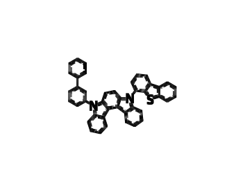 c1ccc(-c2cccc(-n3c4ccccc4c4c5c6ccccc6n(-c6cccc7c6sc6ccccc67)c5ccc43)c2)cc1